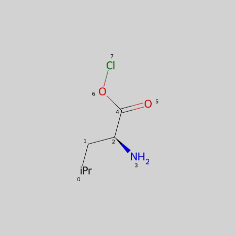 CC(C)C[C@H](N)C(=O)OCl